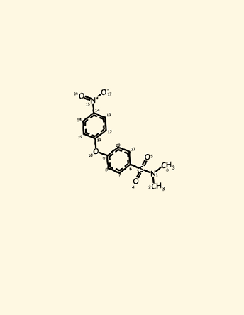 CN(C)S(=O)(=O)c1ccc(Oc2ccc([N+](=O)[O-])cc2)cc1